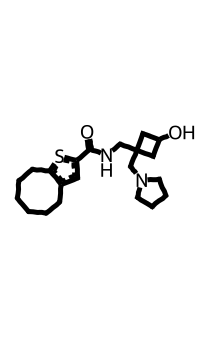 O=C(NCC1(CN2CCCC2)CC(O)C1)c1cc2c(s1)CCCCCC2